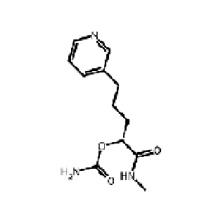 CNC(=O)[C@H](CCCc1cccnc1)OC(N)=O